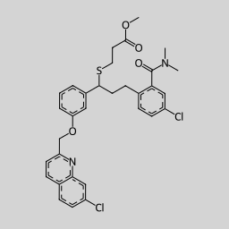 COC(=O)CCSC(CCc1ccc(Cl)cc1C(=O)N(C)C)c1cccc(OCc2ccc3ccc(Cl)cc3n2)c1